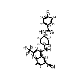 N#Cc1ccc2nc(C(F)(F)F)cc(NC3CCC(NC(=O)c4ccc(F)cc4)CC3)c2c1